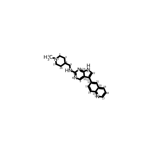 CN1CCC(CNc2ncc3c(-c4ccc5ncccc5c4)c[nH]c3n2)CC1